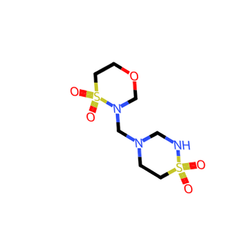 O=S1(=O)CCN(CN2COCCS2(=O)=O)CN1